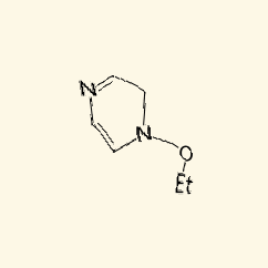 CCON1C=CN=CC1